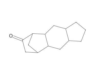 O=C1CC2CC1C1CC3CCCC3CC21